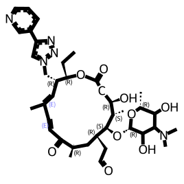 CC[C@H]1OC(=O)C[C@@H](O)[C@H](C)[C@@H](O[C@@H]2O[C@H](C)C(O)C(N(C)C)C2O)[C@@H](CC=O)C[C@@H](C)C(=O)/C=C/C(C)=C/[C@@H]1Cn1cc(-c2cccnc2)nn1